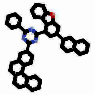 c1ccc(-c2nc(-c3ccc4c(ccc5ccc6ccccc6c54)c3)nc(-c3cc(-c4ccc5ccccc5c4)cc4oc5ccccc5c34)n2)cc1